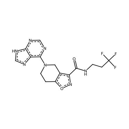 O=C(NCCC(F)(F)F)c1noc2c1CN(c1ncnc3[nH]cnc13)CC2